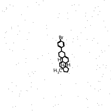 C[C@]12CC=C3[C@H]4CCC(c5ccc(Br)cc5)CC4=CC[C@H]3[C@@H]1CCC2